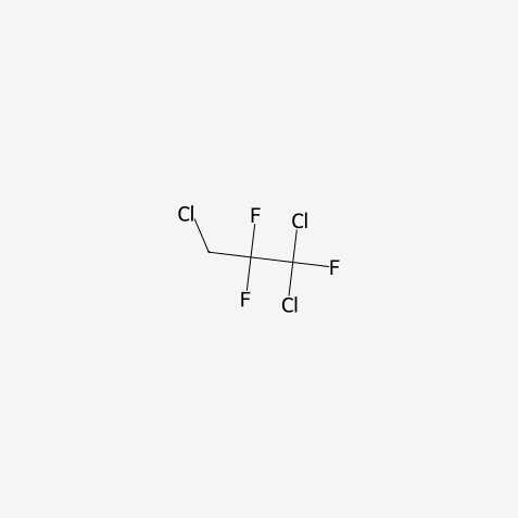 FC(Cl)(Cl)C(F)(F)CCl